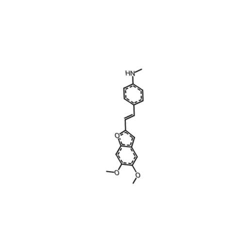 CNc1ccc(/C=C/c2cc3cc(OC)c(OC)cc3o2)cc1